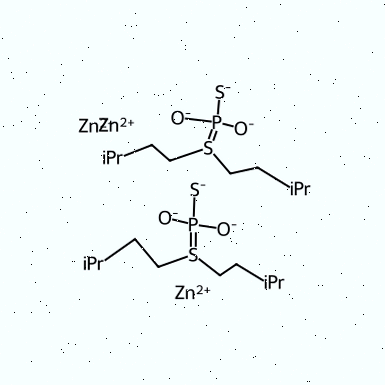 CC(C)CCS(CCC(C)C)=P([O-])([O-])[S-].CC(C)CCS(CCC(C)C)=P([O-])([O-])[S-].[Zn+2].[Zn+2].[Zn+2]